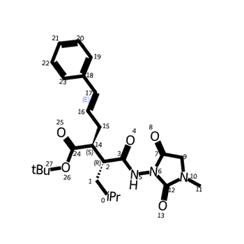 CC(C)C[C@@H](C(=O)NN1C(=O)CN(C)C1=O)[C@H](C/C=C/c1ccccc1)C(=O)OC(C)(C)C